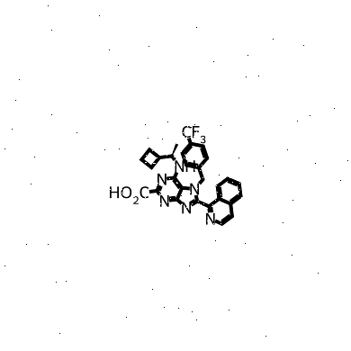 C[C@@H](Nc1nc(C(=O)O)nc2nc(-c3nccc4ccccc34)n(Cc3ccc(C(F)(F)F)cc3)c12)C1CCC1